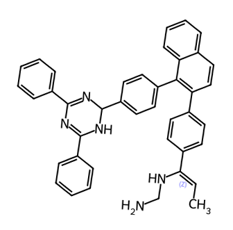 C/C=C(\NCN)c1ccc(-c2ccc3ccccc3c2-c2ccc(C3N=C(c4ccccc4)N=C(c4ccccc4)N3)cc2)cc1